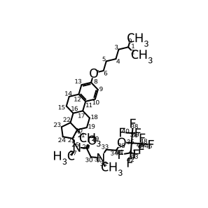 CC(C)CCCCOc1ccc2c(c1)CCC1C2CCC2(C)C1CCC2N(C)C(=O)CN(C)CCOC(C(F)(F)F)(C(F)(F)F)C(F)(F)F